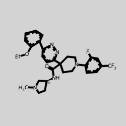 CCOc1ccccc1-c1ccc(C2(C(=O)N[C@H]3CCN(C)C3)CCN(c3ccc(C(F)(F)F)cc3F)CC2)nn1